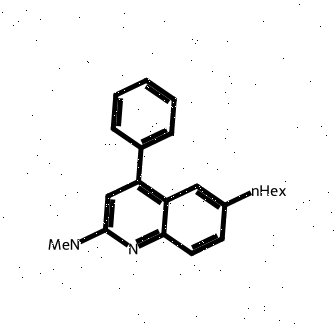 CCCCCCc1ccc2nc(NC)cc(-c3ccccc3)c2c1